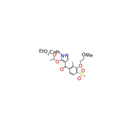 CCCn1ncc(C(=O)c2ccc(S(C)(=O)=O)c(OCCOC)c2C)c1OC(C)OC(=O)OCC